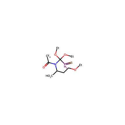 CCOCCC(C(=O)O)N(C(=O)C(F)(F)F)C(OCC)(OCC)[PH2]=S